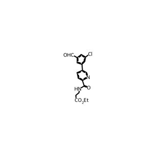 CCOC(=O)CCNC(=O)c1ccc(-c2cc(Cl)cc(C=O)c2)cn1